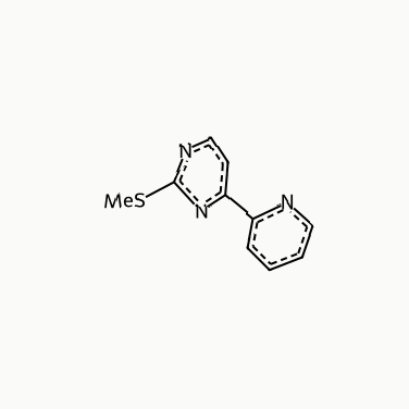 CSc1nccc(-c2ccccn2)n1